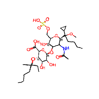 CCCCC(C)(CC)O[C@@H]1C(C(=O)O)O[C@@H](OC2C(NC(C)=O)[C@H](C(CCCC)(OC)C3CC3)OC(COS(=O)(=O)O)[C@@H]2O)C(O)C1O